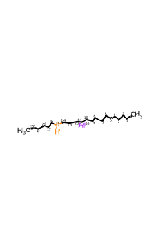 CCCCCCCCCCCCCCCPCCCCCC.I